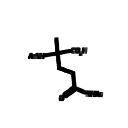 CC(=O)NC(=O)CCC(C)(NC(C)=O)C(=O)O